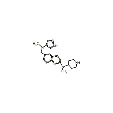 CN(Cc1ccc2nc(N(C)C3CCNCC3)ncc2c1)c1cn[nH]c1